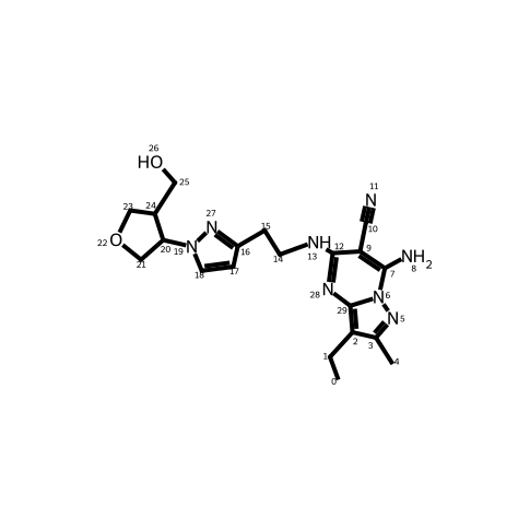 CCc1c(C)nn2c(N)c(C#N)c(NCCc3ccn(C4COCC4CO)n3)nc12